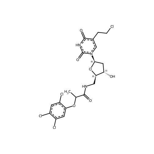 CC(Oc1cc(Cl)c(Cl)cc1Cl)C(=O)NC[C@H]1O[C@@H](n2cc(CCCl)c(=O)[nH]c2=O)C[C@@H]1O